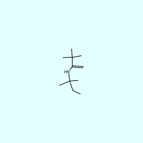 C=C(NC(C)(C)CC)C(C)(C)C